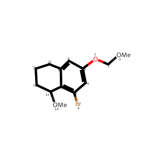 COCOc1cc(Br)c2c(c1)CCCC2OC